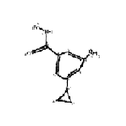 CC(C)NC(=O)c1cc(N)cc(C2CC2)c1